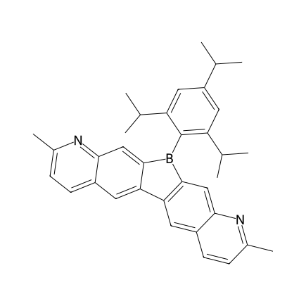 Cc1ccc2cc3c(cc2n1)B(c1c(C(C)C)cc(C(C)C)cc1C(C)C)c1cc2nc(C)ccc2cc1-3